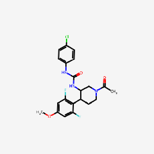 COc1cc(F)c(C2CCN(C(C)=O)CC2NC(=O)Nc2ccc(Cl)cc2)c(F)c1